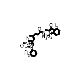 CCN(Cc1cc(/C=C/C(=O)N(C)Cc2c(C)c3ccccc3n2C)cnc1NC=O)c1ccccc1